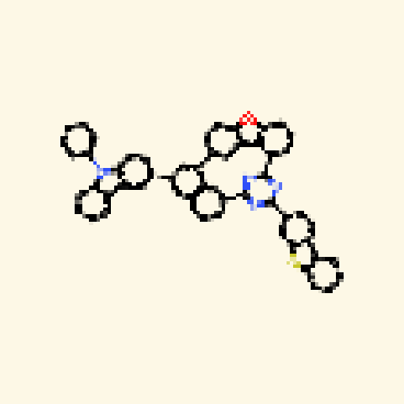 c1ccc(-c2nc(-c3ccc4c(c3)sc3ccccc34)nc(-c3cccc4oc5ccc(-c6cccc(-c7ccc8c(c7)c7ccccc7n8-c7ccccc7)c6)cc5c34)n2)cc1